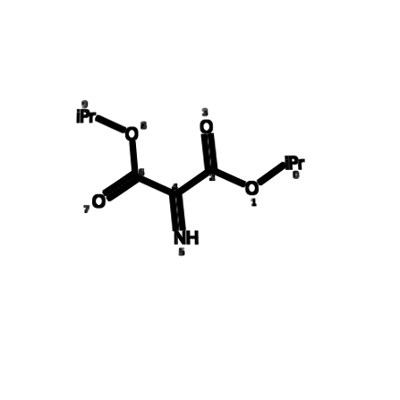 CC(C)OC(=O)C(=N)C(=O)OC(C)C